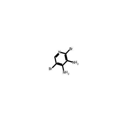 Nc1c(Br)cnc(Br)c1N